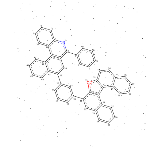 c1ccc(-c2nc3ccccc3c3c2cc(-c2cccc(-c4cc5ccccc5c5c4oc4ccc6ccccc6c45)c2)c2ccccc23)cc1